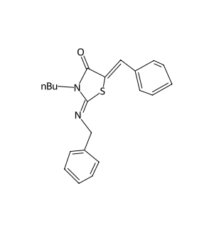 CCCCN1C(=O)/C(=C/c2ccccc2)S/C1=N\Cc1ccccc1